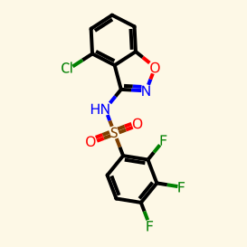 O=S(=O)(Nc1noc2cccc(Cl)c12)c1ccc(F)c(F)c1F